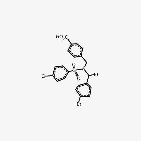 CCc1ccc(C(CC)N(Cc2ccc(C(=O)O)cc2)S(=O)(=O)c2ccc(Cl)cc2)cc1